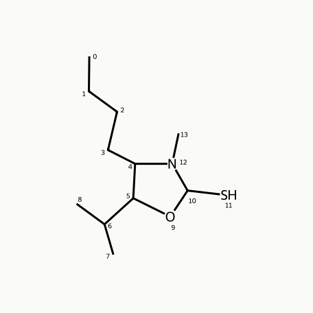 CCCCC1C(C(C)C)OC(S)N1C